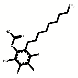 CCCCCCCCCc1c(I)c(I)c(I)c(O)c1OC(=O)O